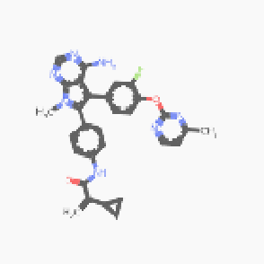 C=C(C(=O)Nc1ccc(-c2c(-c3ccc(Oc4nccc(C)n4)c(F)c3)c3c(N)ncnc3n2C)cc1)C1CC1